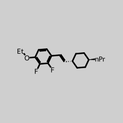 CCC[C@H]1CC[C@H](/C=C/c2ccc(OCC)c(F)c2F)CC1